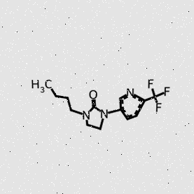 CCCCN1CCN(c2ccc(C(F)(F)F)nc2)C1=O